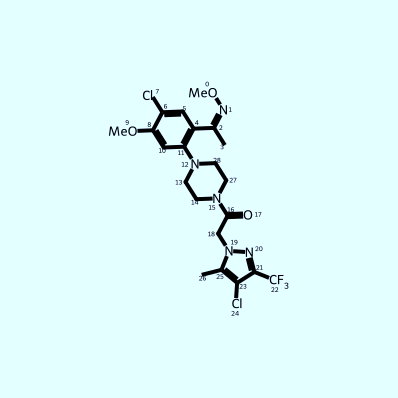 CO/N=C(/C)c1cc(Cl)c(OC)cc1N1CCN(C(=O)Cn2nc(C(F)(F)F)c(Cl)c2C)CC1